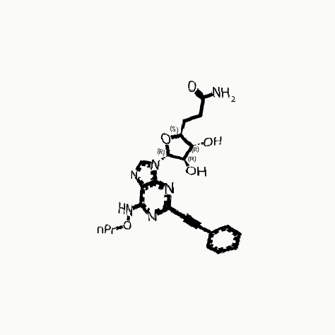 CCCONc1nc(C#Cc2ccccc2)nc2c1ncn2[C@@H]1O[C@@H](CCC(N)=O)[C@H](O)[C@H]1O